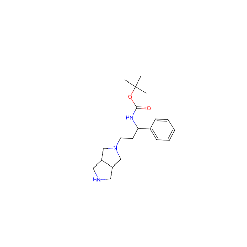 CC(C)(C)OC(=O)NC(CCN1CC2CNCC2C1)c1ccccc1